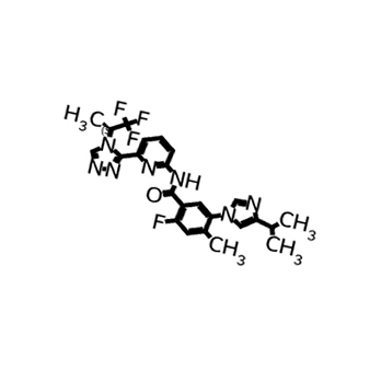 Cc1cc(F)c(C(=O)Nc2cccc(-c3nncn3[C@@H](C)C(F)(F)F)n2)cc1-n1cnc(C(C)C)c1